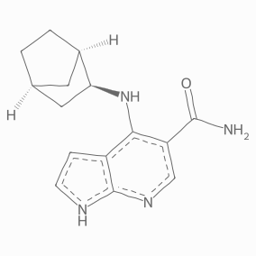 NC(=O)c1cnc2[nH]ccc2c1N[C@H]1C[C@H]2CC[C@@H]1C2